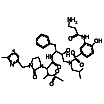 Cc1nc(CN2CCN([C@@H](C(=O)N[C@@H](Cc3ccccc3)[C@@H](O)CN(CC(C)C)S(=O)(=O)c3ccc(O)c(NC(=O)CCN)c3)C(C)S(C)(=O)=O)C2=O)cs1